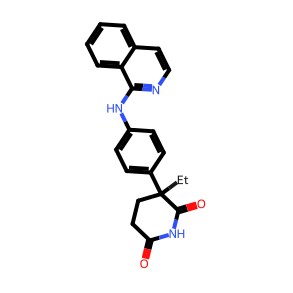 CCC1(c2ccc(Nc3nccc4ccccc34)cc2)CCC(=O)NC1=O